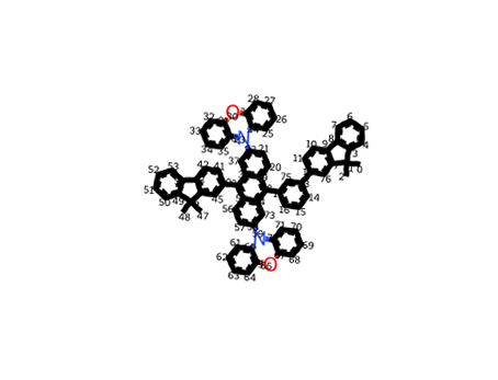 CC1(C)c2ccccc2-c2ccc(-c3cccc(-c4c5ccc(N6c7ccccc7Oc7ccccc76)cc5c(-c5ccc6c(c5)C(C)(C)c5ccccc5-6)c5ccc(N6c7ccccc7Oc7ccccc76)cc45)c3)cc21